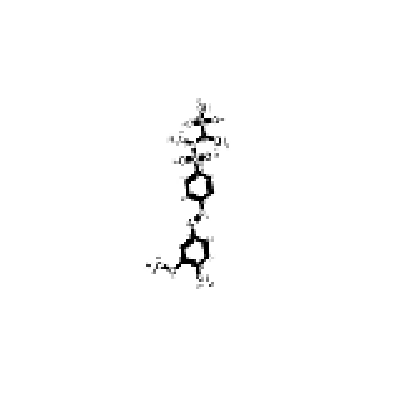 COc1cc(/N=N/c2ccc(S(=O)(=O)N(C)C(C)S(=O)(=O)O)cc2)ccc1N